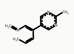 C=N/C=C(\C=C/C)c1cnc(C)nc1